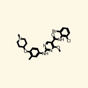 COc1nc(Nc2ccc(OC3CCN(C)CC3)c(C)c2)ncc1C(=O)Nc1c(Cl)cccc1Br